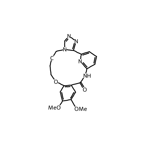 COc1cc2c(cc1OC)C(=O)Nc1cccc(n1)-c1nncn1CCCCO2